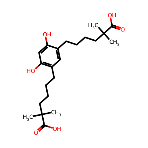 CC(C)(CCCCc1cc(CCCCC(C)(C)C(=O)O)c(O)cc1O)C(=O)O